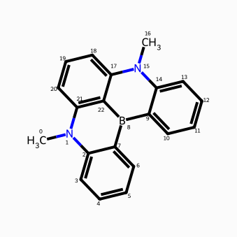 CN1c2ccccc2B2c3ccccc3N(C)c3cccc1c32